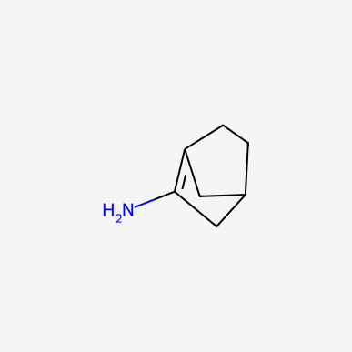 NC1=C2CCC(C1)C2